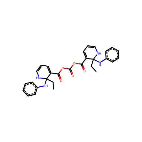 CCC1(Nc2ccccc2)NC=CC=C1C(=O)OC(=O)OC(=O)C1=CC=CNC1(CC)Nc1ccccc1